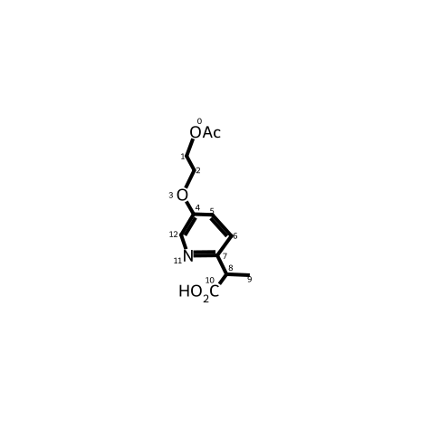 CC(=O)OCCOc1ccc(C(C)C(=O)O)nc1